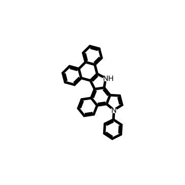 c1ccc(-n2ccc3c4[nH]c5c6ccccc6c6ccccc6c5c4c4ccccc4c32)cc1